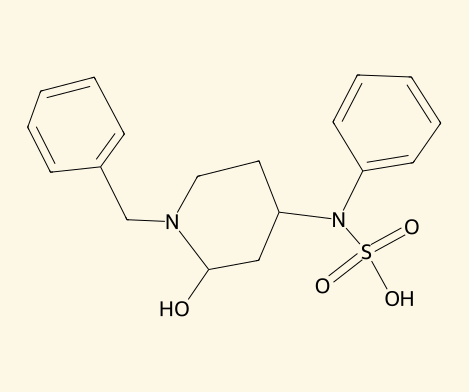 O=S(=O)(O)N(c1ccccc1)C1CCN(Cc2ccccc2)C(O)C1